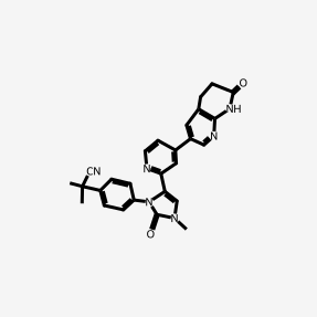 Cn1cc(-c2cc(-c3cnc4c(c3)CCC(=O)N4)ccn2)n(-c2ccc(C(C)(C)C#N)cc2)c1=O